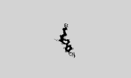 CCC=CCCC1CCC(c2ccc(C#N)cc2)CC1